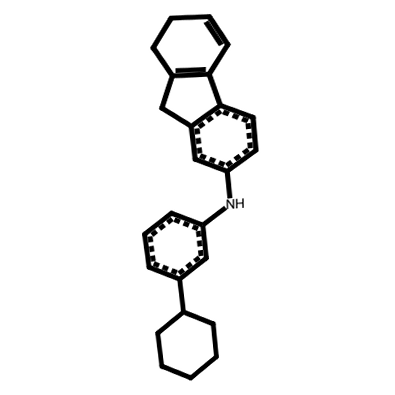 C1=CC2=C(CC1)Cc1cc(Nc3cccc(C4CCCCC4)c3)ccc12